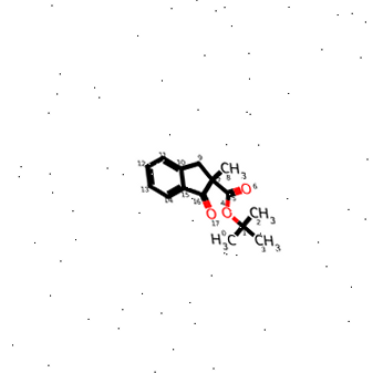 CC(C)(C)OC(=O)C1(C)Cc2ccccc2C1=O